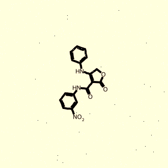 O=C(Nc1cccc([N+](=O)[O-])c1)C1=C(Nc2ccccc2)COC1=O